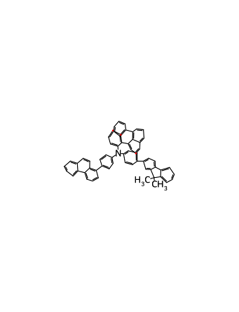 CC1(C)c2ccccc2-c2ccc(-c3ccc(N(c4ccc(-c5cccc6c5ccc5ccccc56)cc4)c4ccccc4-c4cccc5cccc(-c6ccccc6)c45)cc3)cc21